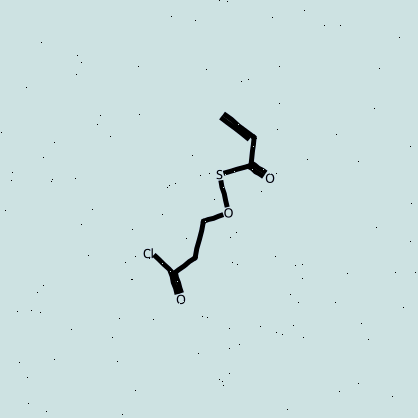 C=CC(=O)SOCCC(=O)Cl